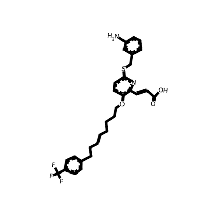 Nc1cccc(CSc2ccc(OCCCCCCCCc3ccc(C(F)(F)F)cc3)c(C=CC(=O)O)n2)c1